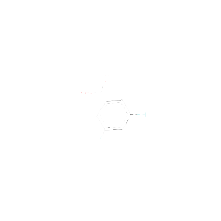 Fc1cccc(F)c1.OBO